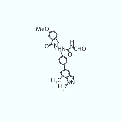 COc1ccc2c(c1)C(=O)N(C[C@H](NC(=O)NC=O)c1ccc(-c3cc(C)c4c(cnn4C)c3)cc1)C2